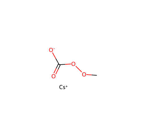 COOC(=O)[O-].[Cs+]